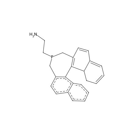 NCCP1CC2=C(c3c(ccc4ccccc34)C1)C1CC=CC=C1C=C2